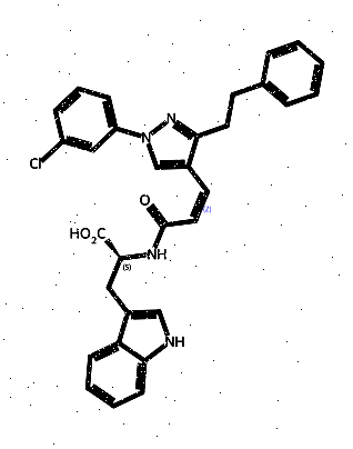 O=C(/C=C\c1cn(-c2cccc(Cl)c2)nc1CCc1ccccc1)N[C@@H](Cc1c[nH]c2ccccc12)C(=O)O